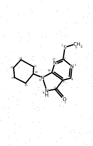 CSc1ncc2c(=O)[nH]n(C3CCCCC3)c2n1